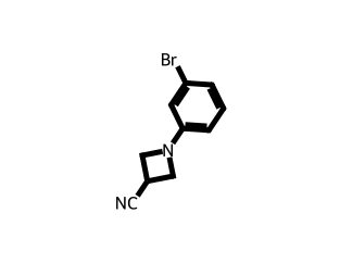 N#CC1CN(c2cccc(Br)c2)C1